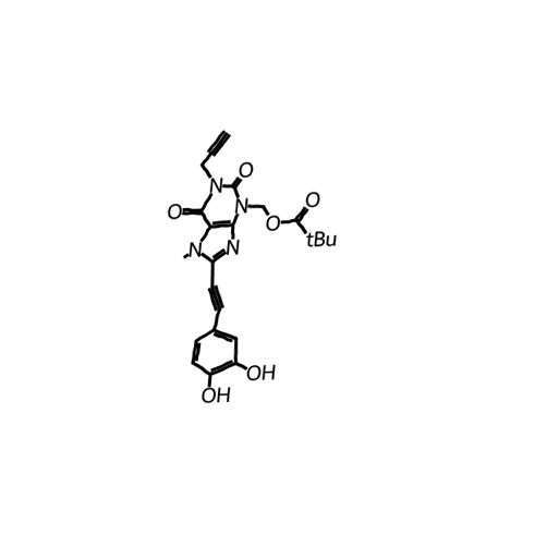 C#CCn1c(=O)c2c(nc(C#Cc3ccc(O)c(O)c3)n2C)n(COC(=O)C(C)(C)C)c1=O